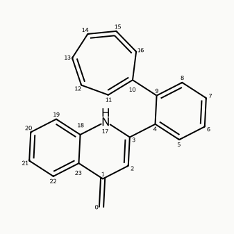 C=C1C=C(c2ccccc2C2=CC=CC=C=C2)Nc2ccccc21